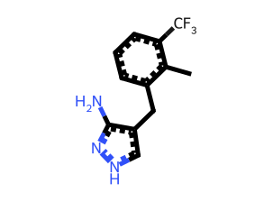 Cc1c(Cc2c[nH]nc2N)cccc1C(F)(F)F